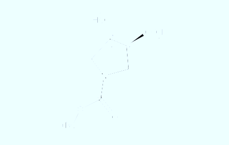 CC(C)(C)OC(=O)N1C[C@H](C(=O)O)[C@@H](O)C1